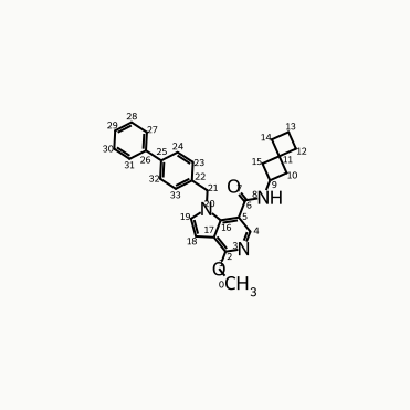 COc1ncc(C(=O)NC2CC3(CCC3)C2)c2c1ccn2Cc1ccc(-c2ccccc2)cc1